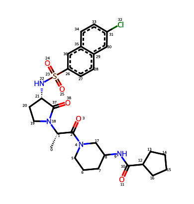 C[C@@H](C(=O)N1CCCC(NC(=O)C2CCCC2)C1)N1CC[C@H](NS(=O)(=O)c2ccc3cc(Cl)ccc3c2)C1=O